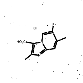 Cc1cc2nc(C)c(C(=O)O)n2cc1F.[KH]